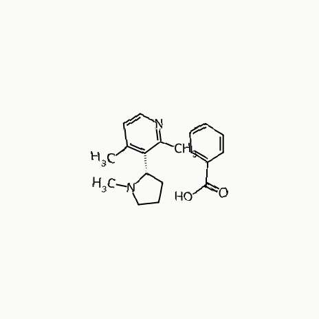 Cc1ccnc(C)c1[C@@H]1CCCN1C.O=C(O)c1ccccc1